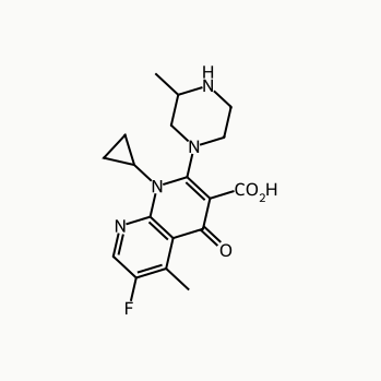 Cc1c(F)cnc2c1c(=O)c(C(=O)O)c(N1CCNC(C)C1)n2C1CC1